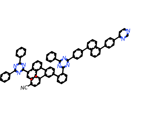 N#Cc1ccc(-c2cc(-c3ccccc3-c3nc(-c4ccccc4)nc(-c4ccc(-c5cccc6c(-c7ccc(-c8ccncn8)cc7)cccc56)cc4)n3)ccc2-c2cccc3c(-c4nc(-c5ccccc5)nc(-c5ccccc5)n4)cccc23)cc1